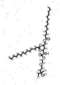 CCCCCCCCCCCCCC(=O)OCC(CCNC(=O)OCCOCCC(C)(CC)OC)OC(=O)CCCCCCCCCCCCC